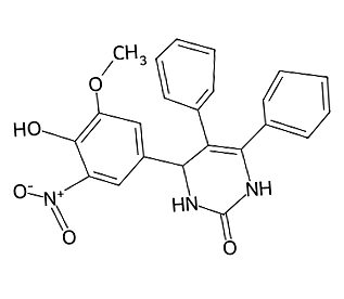 COc1cc(C2NC(=O)NC(c3ccccc3)=C2c2ccccc2)cc([N+](=O)[O-])c1O